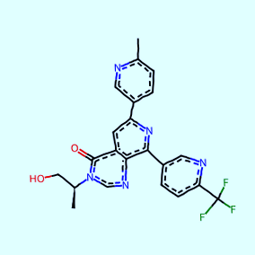 Cc1ccc(-c2cc3c(=O)n([C@@H](C)CO)cnc3c(-c3ccc(C(F)(F)F)nc3)n2)cn1